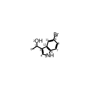 [CH2]C(O)c1c[nH]c2ccc(Br)cc12